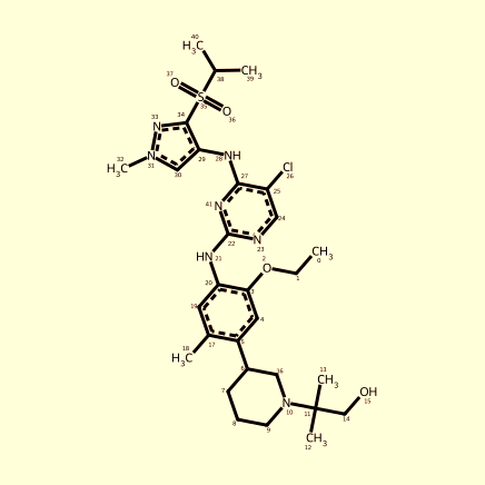 CCOc1cc(C2CCCN(C(C)(C)CO)C2)c(C)cc1Nc1ncc(Cl)c(Nc2cn(C)nc2S(=O)(=O)C(C)C)n1